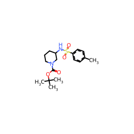 Cc1ccc(S(=O)(=O)NC2CCCN(C(=O)OC(C)(C)C)C2)cc1